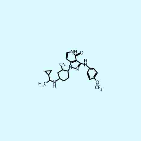 CC(NC1CCC(n2nc(Nc3ccc(OC(F)(F)F)cc3)c3c(=O)[nH]ccc32)C(C#N)C1)C1CC1